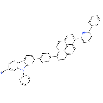 N#Cc1ccc2c3ccc(-c4ccc(-c5ccc6ccc7c(-c8cccc(-c9ccccc9)n8)ccc8ccc5c6c87)cc4)cc3n(-c3ccccc3)c2c1